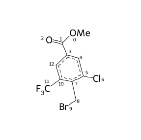 COC(=O)c1cc(Cl)c(CBr)c(C(F)(F)F)c1